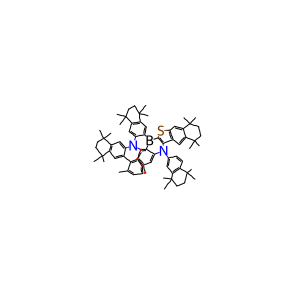 Cc1cc2c3c(c1)N(c1ccc4c(c1)C(C)(C)CCC4(C)C)c1c(sc4cc5c(cc14)C(C)(C)CCC5(C)C)B3c1cc3c(cc1N2c1cc2c(cc1-c1c(C)cccc1C)C(C)(C)CCC2(C)C)C(C)(C)CCC3(C)C